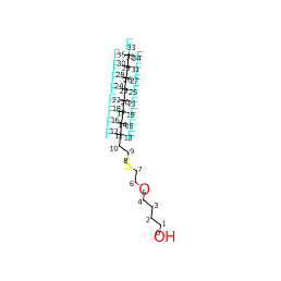 OCCCCOCCSCCC(F)(F)C(F)(F)C(F)(F)C(F)(F)C(F)(F)C(F)(F)C(F)(F)C(F)(F)F